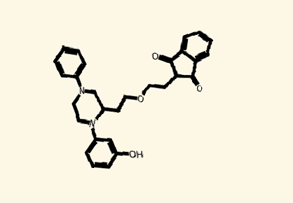 O=C1c2ccccc2C(=O)C1CCOCCC1CN(c2ccccc2)CCN1c1cccc(O)c1